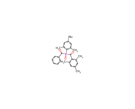 Cc1cc(C)c(C(=O)P(=O)(C(=O)c2ccccc2)c2c(C)cc(C(C)(C)C)cc2C)c(C)c1